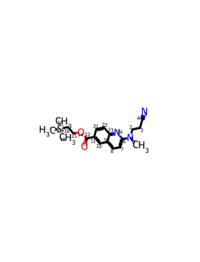 CN(CCC#N)c1ccc2cc(C(=O)OCC[Si](C)(C)C)ccc2n1